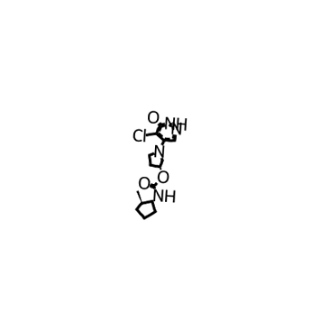 C[C@@H]1CCC[C@H]1NC(=O)O[C@@H]1CCN(c2cn[nH]c(=O)c2Cl)C1